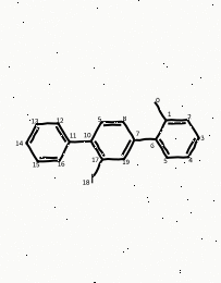 Cc1ccccc1-c1ccc(-c2ccccc2)c(I)c1